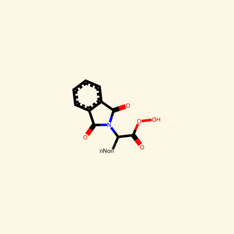 CCCCCCCCCC(C(=O)OO)N1C(=O)c2ccccc2C1=O